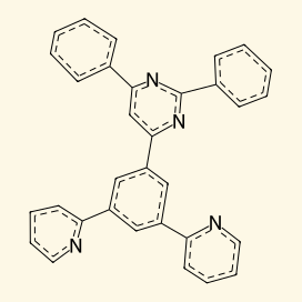 c1ccc(-c2cc(-c3cc(-c4ccccn4)cc(-c4ccccn4)c3)nc(-c3ccccc3)n2)cc1